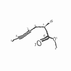 CC#CC[C@@H](C)C(=O)OC